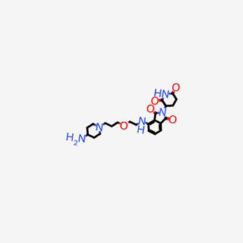 NC1CCN(CCCOCCNc2cccc3c2C(=O)N(C2CCC(=O)NC2=O)C3=O)CC1